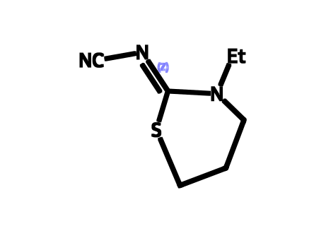 CCN1CCCS/C1=N\C#N